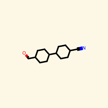 N#CC1CCC(C2CCC(C=O)CC2)CC1